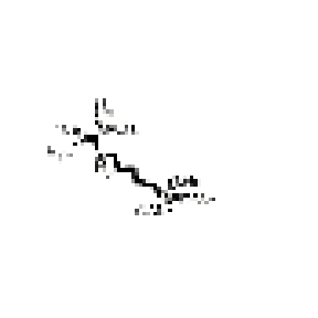 CO[Si](CCCCCC[SiH2]C(N(C)C)N(C)C)(OC)OC